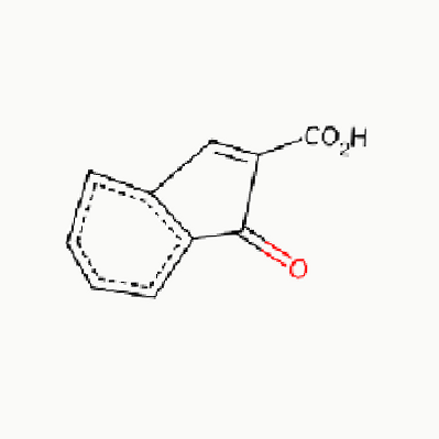 O=C(O)C1=Cc2ccccc2C1=O